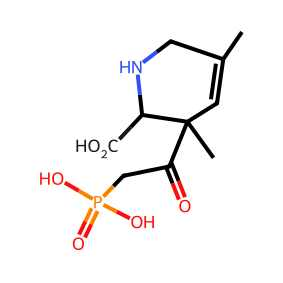 CC1=CC(C)(C(=O)CP(=O)(O)O)C(C(=O)O)NC1